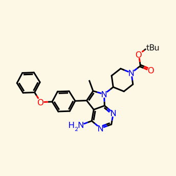 Cc1c(-c2ccc(Oc3ccccc3)cc2)c2c(N)ncnc2n1C1CCN(C(=O)OC(C)(C)C)CC1